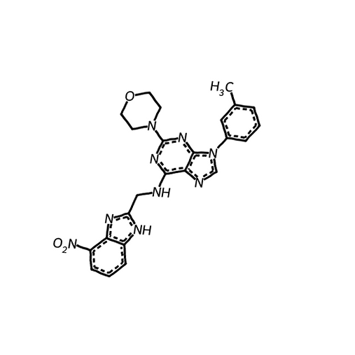 Cc1cccc(-n2cnc3c(NCc4nc5c([N+](=O)[O-])cccc5[nH]4)nc(N4CCOCC4)nc32)c1